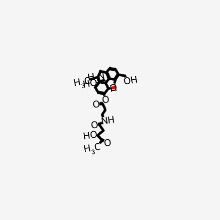 CC(=O)[C@@H](O)CC(=O)NCCC(=O)OC1=CC[C@@]2(O)[C@H]3Cc4ccc(CO)c5c4[C@@]2(CCN3C)[C@H]1O5